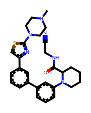 CN1CCN(c2nc(-c3cccc(-c4cccc(N5CCCCC5C(=O)NCC#N)c4)c3)cs2)CC1